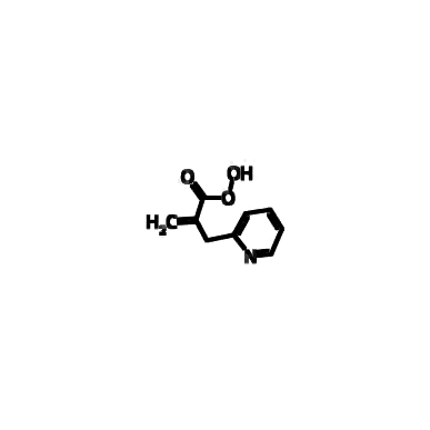 C=C(Cc1ccccn1)C(=O)OO